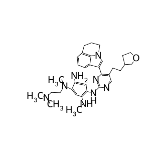 CNc1cc(N(C)CCN(C)C)c(N)cc1Nc1ncc(CCC2CCOC2)c(-c2cn3c4c(cccc24)CCC3)n1